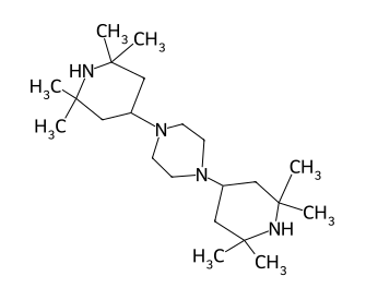 CC1(C)CC(N2CCN(C3CC(C)(C)NC(C)(C)C3)CC2)CC(C)(C)N1